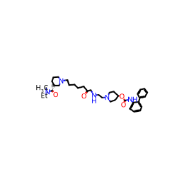 CCN(C)C(=O)[C@@H]1CCCN(CCCCCC(=O)CNCCN2CCC(OC(=O)Nc3ccccc3-c3ccccc3)CC2)C1